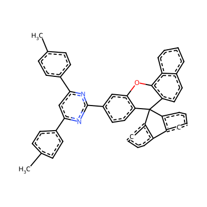 Cc1ccc(-c2cc(-c3ccc(C)cc3)nc(-c3ccc4c(c3)Oc3c(ccc5ccccc35)C43c4ccccc4-c4ccccc43)n2)cc1